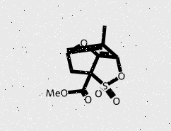 COC(=O)C12Cc3oc1c(c3C)OS2(=O)=O